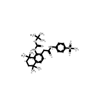 CC(C)(C)OC(=O)Nc1c(CC(=O)Nc2ccc(S(C)(=O)=O)cc2)ccc2c1C(C)(C)CCC2(C)C